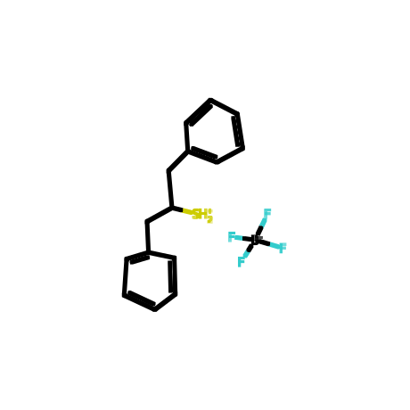 F[B-](F)(F)F.[SH2+]C(Cc1ccccc1)Cc1ccccc1